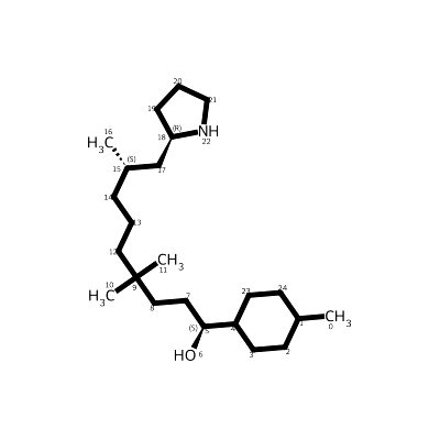 CC1CCC([C@@H](O)CCC(C)(C)CCC[C@H](C)C[C@H]2CCCN2)CC1